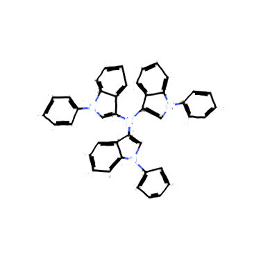 c1ccc(-n2cc(N(c3cn(-c4ccccc4)c4ccccc34)c3cn(-c4ccccc4)c4ccccc34)c3ccccc32)cc1